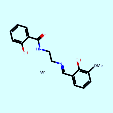 COc1cccc(C=NCCNC(=O)c2ccccc2O)c1O.[Mn]